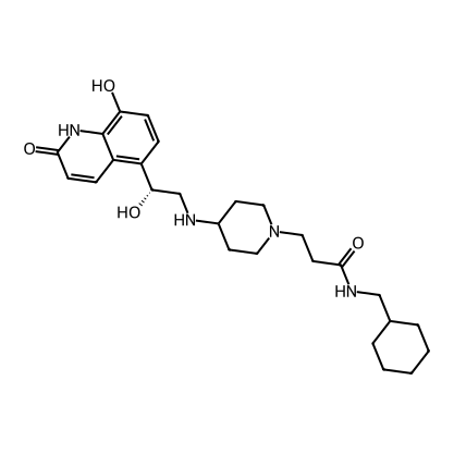 O=C(CCN1CCC(NC[C@H](O)c2ccc(O)c3[nH]c(=O)ccc23)CC1)NCC1CCCCC1